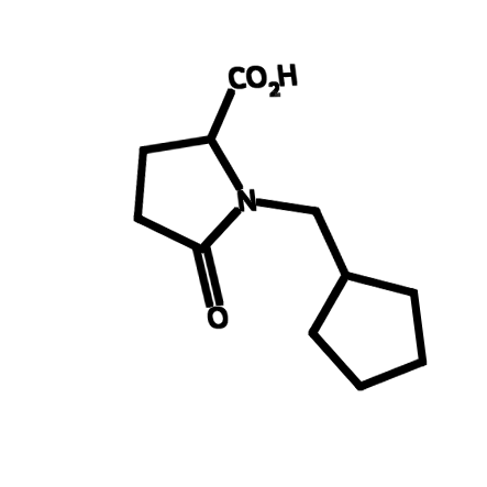 O=C(O)C1CCC(=O)N1CC1CCCC1